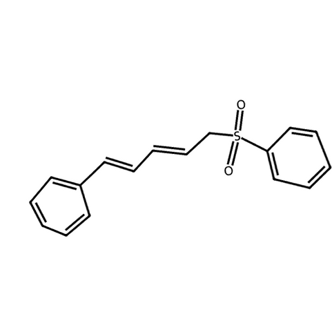 O=S(=O)(CC=CC=Cc1ccccc1)c1ccccc1